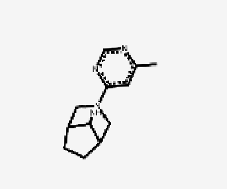 Cc1cc(N2CC3CCC(C2)C3N)ncn1